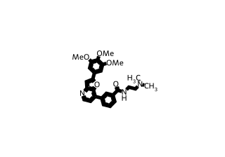 COc1cc(-c2cc3nccc(-c4cccc(C(=O)NCCN(C)C)c4)c3o2)cc(OC)c1OC